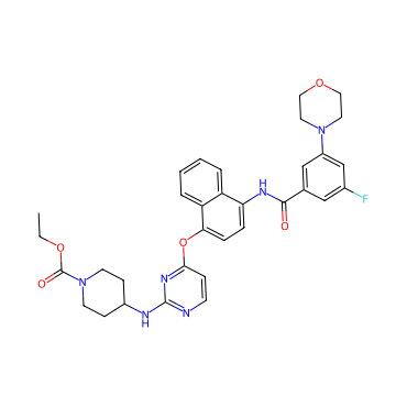 CCOC(=O)N1CCC(Nc2nccc(Oc3ccc(NC(=O)c4cc(F)cc(N5CCOCC5)c4)c4ccccc34)n2)CC1